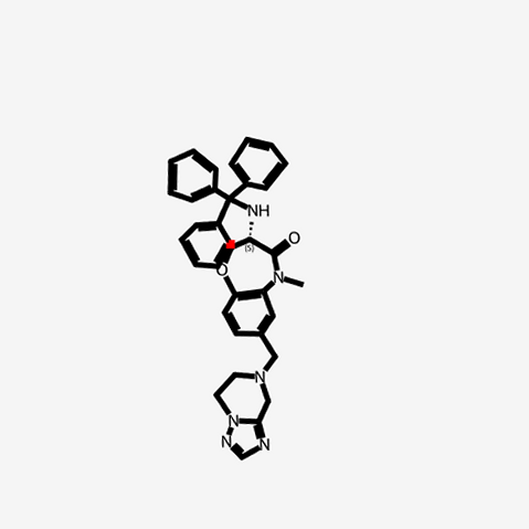 CN1C(=O)[C@@H](NC(c2ccccc2)(c2ccccc2)c2ccccc2)COc2ccc(CN3CCn4ncnc4C3)cc21